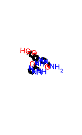 C[C@]1(O)COc2cc(N3CCN(CC(N)=O)CC3)c(NC(=O)/C(C=N)=C3\N=CC=CN3)cc2C1